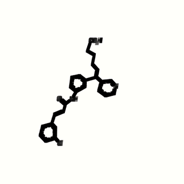 O=C(O)CCCC=C(c1cccnc1)c1cccc(NC(=O)C=Cc2cccc(Cl)c2)c1